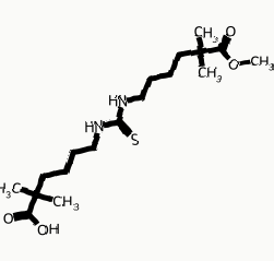 COC(=O)C(C)(C)CCCCNC(=S)NCCCCC(C)(C)C(=O)O